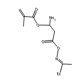 C=C(C)C(=O)OC(N)CC(=O)ON=C(C)CC